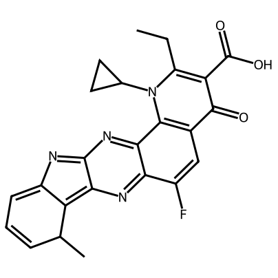 CCc1c(C(=O)O)c(=O)c2cc(F)c3nc4c(nc3c2n1C1CC1)=NC1=CC=CC(C)C=41